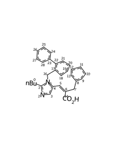 CCCCc1ncc(C=C(Cc2ccccc2)C(=O)O)n1Cc1ccccc1-c1ccccc1